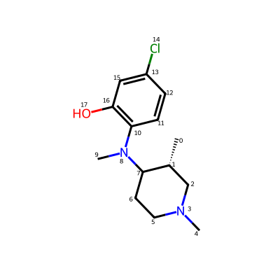 C[C@@H]1CN(C)CCC1N(C)c1ccc(Cl)cc1O